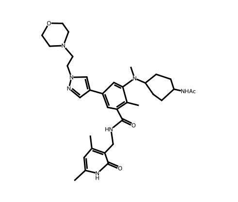 CC(=O)NC1CCC(N(C)c2cc(-c3cnn(CCN4CCOCC4)c3)cc(C(=O)NCc3c(C)cc(C)[nH]c3=O)c2C)CC1